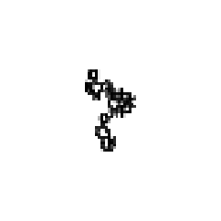 CC1(C)O[C@@H]2[C@@H](COc3ccc4cccnc4c3)C[C@@H](n3ccc4c(Cl)ncnc43)[C@@H]2O1